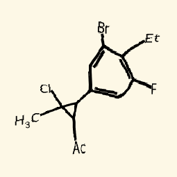 CCc1c(F)cc(C2C(C(C)=O)C2(C)Cl)cc1Br